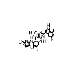 Cc1cnc(Cl)nc1N[C@@H]1CCC[C@H](Nc2nc(-c3c[nH]c4c(F)cc(F)cc34)nc(C)c2F)C1